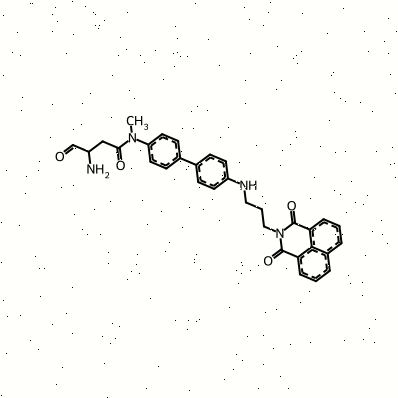 CN(C(=O)CC(N)C=O)c1ccc(-c2ccc(NCCCN3C(=O)c4cccc5cccc(c45)C3=O)cc2)cc1